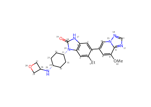 CCc1cc2c(cc1-c1cc(OC)c3ncnn3c1)[nH]c(=O)n2[C@H]1CC[C@@H](NC2COC2)CC1